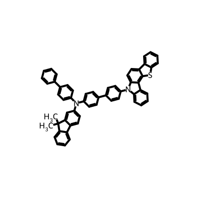 CC1(C)c2ccccc2-c2ccc(N(c3ccc(-c4ccccc4)cc3)c3ccc(-c4ccc(-n5c6ccccc6c6c7sc8ccccc8c7ccc65)cc4)cc3)cc21